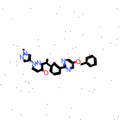 CC(c1cccc(-c2ncc(OCc3ccccc3)cn2)c1)c1nn(-c2cnn(C)c2)ccc1=O